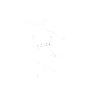 CS(=O)(=O)NC(=O)C(F)(F)S(=O)(=O)F